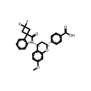 COc1ccc2c(c1)O[C@@H](c1ccc(C(=O)O)cc1)C[C@H]2NC(=O)C1(c2ccccc2)CC(F)(F)C1